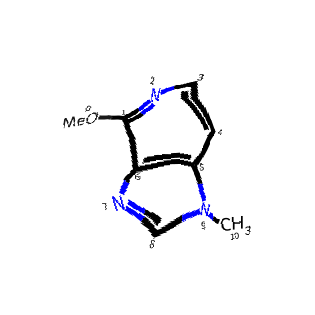 COc1nccc2c1ncn2C